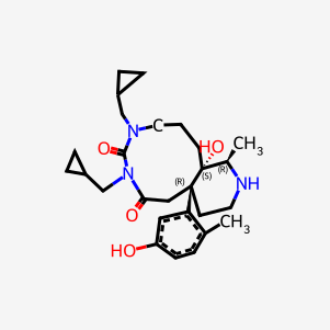 Cc1ccc(O)cc1[C@]12CCN[C@H](C)[C@]1(O)CCCN(CC1CC1)C(=O)N(CC1CC1)C(=O)C2